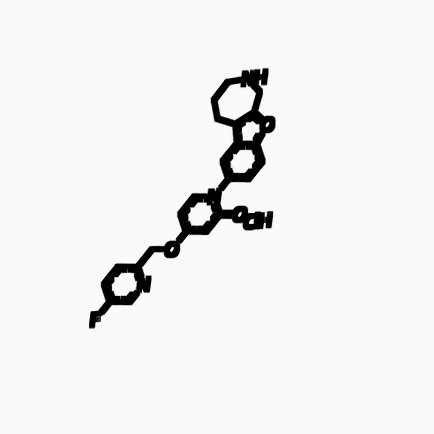 Cl.O=c1cc(OCc2ccc(F)cn2)ccn1-c1ccc2oc3c(c2c1)CCCNC3